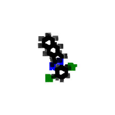 Brc1ccc(Br)c2c1nc1n2Cc2cc3ccccc3cc2-1